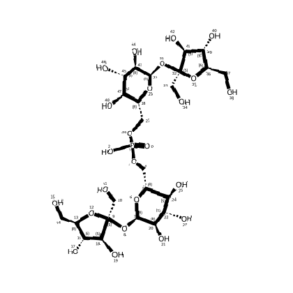 O=P(O)(OC[C@H]1O[C@H](O[C@]2(CO)O[C@H](CO)[C@@H](O)[C@@H]2O)[C@H](O)[C@@H](O)[C@@H]1O)OC[C@H]1O[C@H](O[C@]2(CO)O[C@H](CO)[C@@H](O)[C@@H]2O)[C@H](O)[C@@H](O)[C@@H]1O